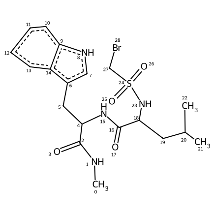 CNC(=O)C(Cc1c[nH]c2ccccc12)NC(=O)C(CC(C)C)NS(=O)(=O)CBr